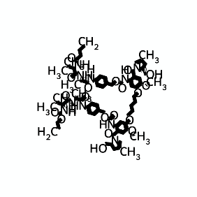 C=CCCC(=O)NC(C(=O)N[C@@H](C)C(=O)Nc1ccc(COC(=O)Nc2cc(OCCCCCOc3cc(NC(=O)OCc4ccc(NC(=O)[C@H](C)NC(=O)[C@@H](NC(=O)OCC=C)C(C)C)cc4)c(C(=O)N4C=C(C)CC4CO)cc3OC)c(OC)cc2C(=O)N2C=C(C)C[C@H]2CO)cc1)C(C)C